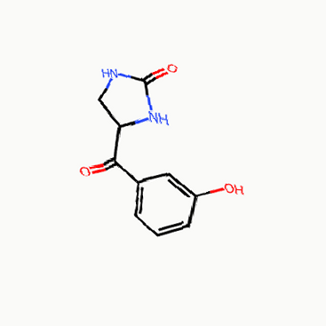 O=C1NCC(C(=O)c2cccc(O)c2)N1